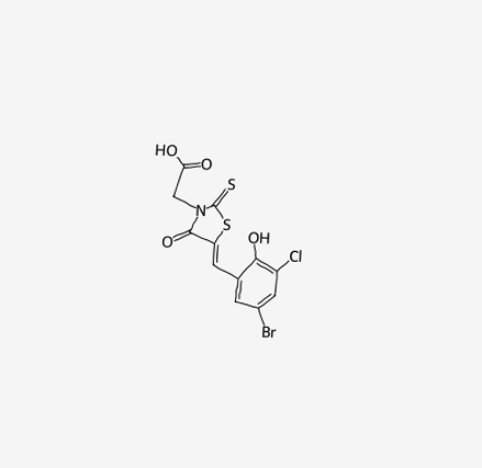 O=C(O)CN1C(=O)C(=Cc2cc(Br)cc(Cl)c2O)SC1=S